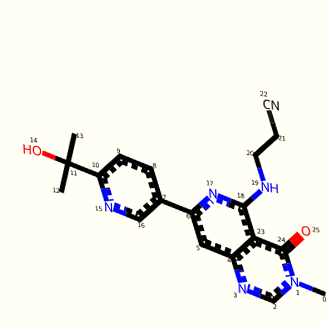 Cn1cnc2cc(-c3ccc(C(C)(C)O)nc3)nc(NCCC#N)c2c1=O